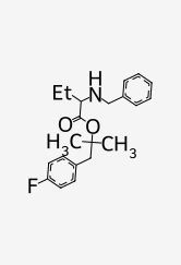 CCC(NCc1ccccc1)C(=O)OC(C)(C)Cc1ccc(F)cc1